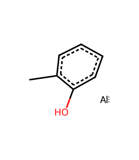 Cc1ccccc1O.[Al]